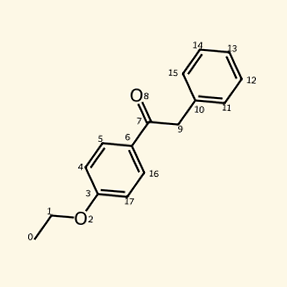 CCOc1ccc(C(=O)Cc2ccccc2)cc1